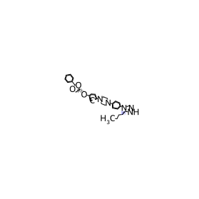 CCC/C=C1/NN=CN1c1ccc(N2CCN(c3ccc(OC[C@@H]4COC(c5ccccc5)O4)cc3)CC2)cc1